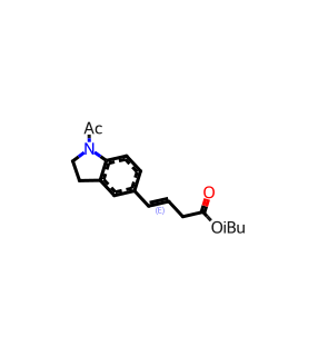 CC(=O)N1CCc2cc(/C=C/CC(=O)OCC(C)C)ccc21